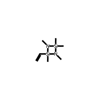 C=C[Si]1(C)N(C)[Si](C)(C)N1C